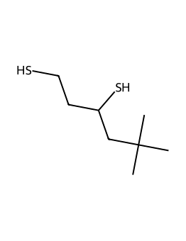 CC(C)(C)CC(S)CCS